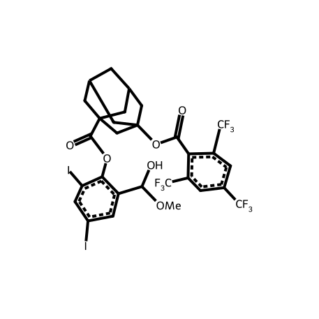 COC(O)c1cc(I)cc(I)c1OC(=O)C12CC3CC(CC(OC(=O)c4c(C(F)(F)F)cc(C(F)(F)F)cc4C(F)(F)F)(C3)C1)C2